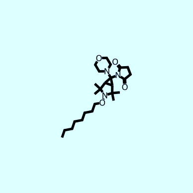 CCCCCCCCON1C(C)(C)C2C(C1(C)C)C2(N1CCOCC1)N1C(=O)CCC1=O